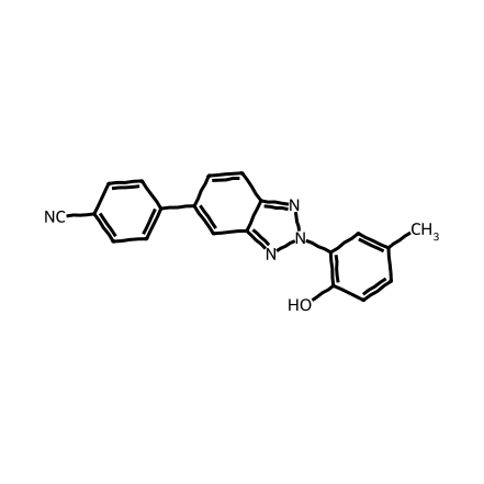 Cc1ccc(O)c(-n2nc3ccc(-c4ccc(C#N)cc4)cc3n2)c1